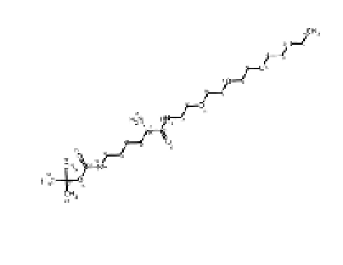 CCOCCOCCOCCOCCNC(=O)[C@@H](N)CCCCNC(=O)OC(C)(C)C